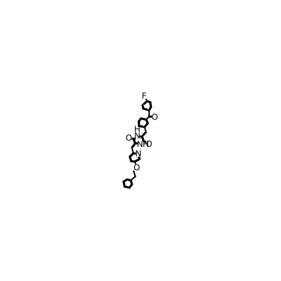 O=C(c1ccc(F)cc1)c1cccc(C=c2[nH]c(=O)c(=Cc3ccc(OCCc4ccccc4)cn3)[nH]c2=O)c1